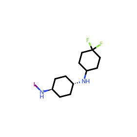 FC1(F)CCC(N[C@H]2CC[C@H](NI)CC2)CC1